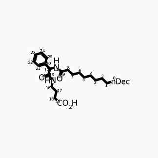 CCCCCCCCCCCCCCCCCCC(=O)NC(C(=O)NCCCC(=O)O)c1ccccc1